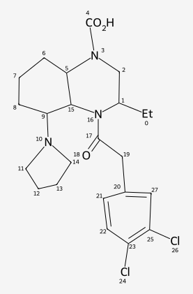 CCC1CN(C(=O)O)C2CCCC(N3CCCC3)C2N1C(=O)Cc1ccc(Cl)c(Cl)c1